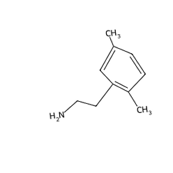 Cc1ccc(C)c(CCN)c1